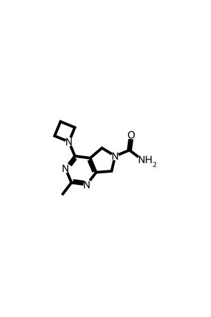 Cc1nc2c(c(N3CCC3)n1)CN(C(N)=O)C2